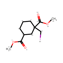 COC(=O)C1CCCC(CI)(C(=O)OC)C1